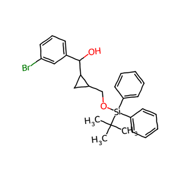 CC(C)(C)[Si](OCC1CC1C(O)c1cccc(Br)c1)(c1ccccc1)c1ccccc1